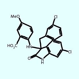 COc1ccc(NC2(Cc3cccc(Cl)c3)C(=O)Nc3cc(Cl)ccc32)c(C(=O)O)c1